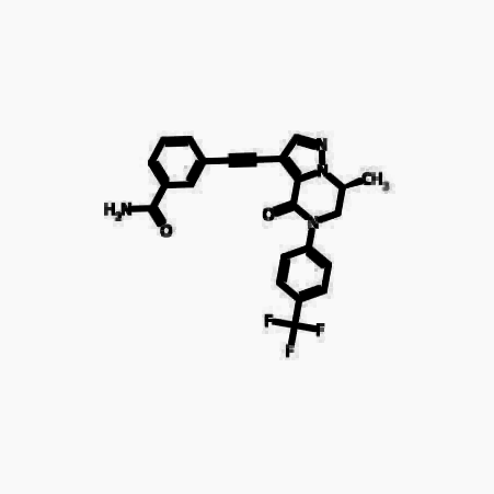 C[C@H]1CN(c2ccc(C(F)(F)F)cc2)C(=O)c2c(C#Cc3cccc(C(N)=O)c3)cnn21